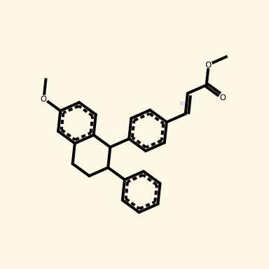 COC(=O)/C=C/c1ccc(C2c3ccc(OC)cc3CCC2c2ccccc2)cc1